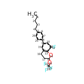 CCCCCc1ccc(-c2cc(F)c3c(c2)CCC(OC(F)(F)F)O3)cc1